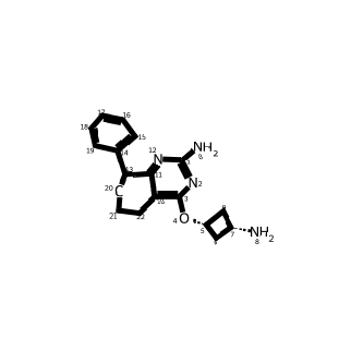 Nc1nc(O[C@H]2C[C@@H](N)C2)c2c(n1)C(c1ccccc1)CCC2